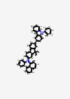 CC1(C)c2cc(-c3ccc4c(c3)c3ccccc3n4-c3ccccc3)ccc2-c2ccc(N(c3ccccc3)c3cccc4ccccc34)cc21